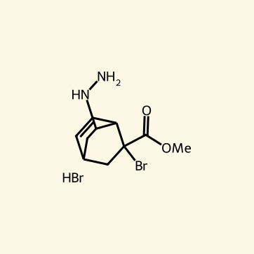 Br.COC(=O)C1(Br)CC2C=CC1C(NN)C2